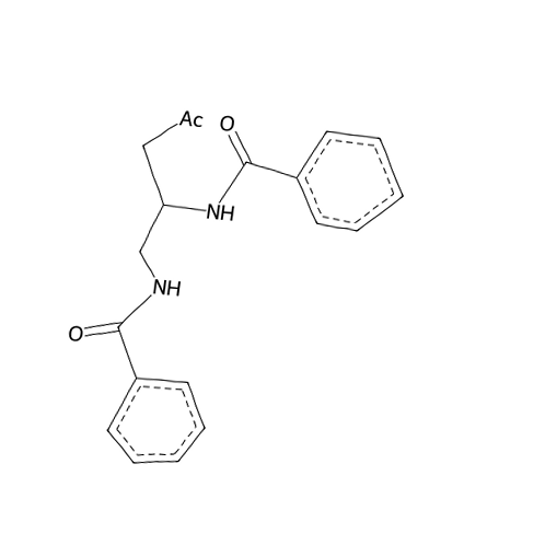 CC(=O)CC(CNC(=O)c1ccccc1)NC(=O)c1ccccc1